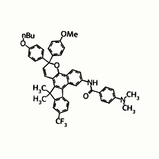 CCCCOc1ccc(C2(c3ccc(OC)cc3)C=Cc3c4c(c5cc(NC(=O)c6ccc(N(C)C)cc6)ccc5c3O2)-c2ccc(C(F)(F)F)cc2C4(C)C)cc1